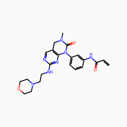 C=CC(=O)Nc1cccc(N2C(=O)N(C)Cc3cnc(NCCN4CCOCC4)nc32)c1